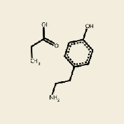 CCC(=O)O.NCCc1ccc(O)cc1